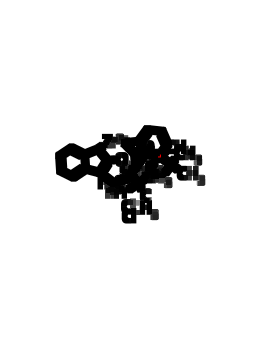 CCCC(C)(C)[Si](C)(C)OC1=C2CCC3=C(O[Si](C)(C)C(C)(C)CCC)[CH]([Zr+2][CH]1c1ccccc12)c1ccccc13.[Cl-].[Cl-]